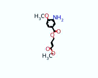 COC(=O)/C=C/COC(=O)c1ccc(OC)c(N)c1